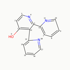 Oc1ccnc(-c2ccccn2)c1-c1ccccn1